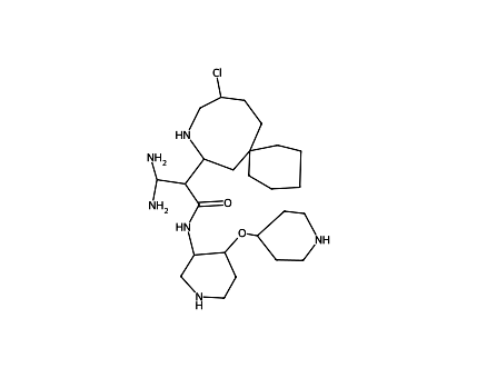 NC(N)C(C(=O)NC1CNCCC1OC1CCNCC1)C1CC2(CCCCC2)CCC(Cl)CN1